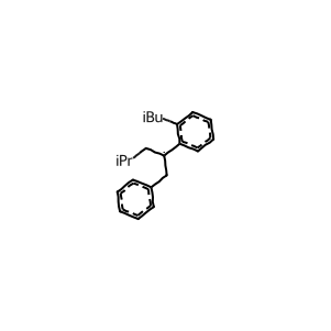 CCC(C)c1ccccc1[C](Cc1ccccc1)CC(C)C